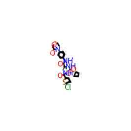 O=C(N[C@H](CNC(=O)c1ccc(Cl)s1)C(=O)Nc1ccc(N2CCOCC2=O)cc1)OC1CCC1